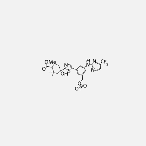 COC(=O)[C@H]1CC[C@](O)(c2ncc(-c3cc(COS(C)(=O)=O)cc(Nc4nccc(C(F)(F)F)n4)c3)s2)CC1(C)C